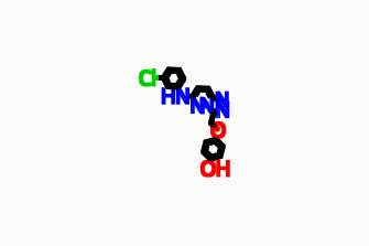 Oc1ccc(OCc2nnc3ccc(Nc4cccc(Cl)c4)nn23)cc1